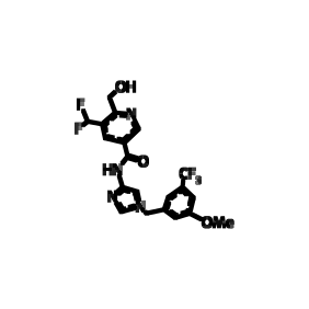 COc1cc(Cn2cnc(NC(=O)c3cnc(CO)c(C(F)F)c3)c2)cc(C(F)(F)F)c1